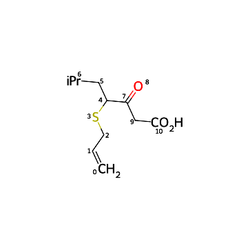 C=CCSC(CC(C)C)C(=O)CC(=O)O